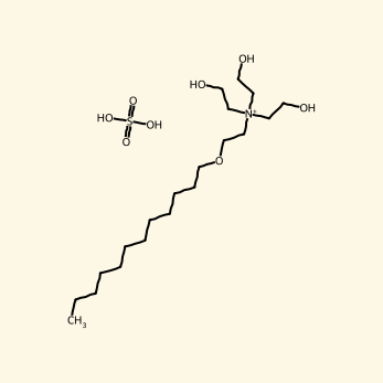 CCCCCCCCCCCCOCC[N+](CCO)(CCO)CCO.O=S(=O)(O)O